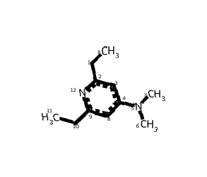 CCc1cc(N(C)C)cc(CC)n1